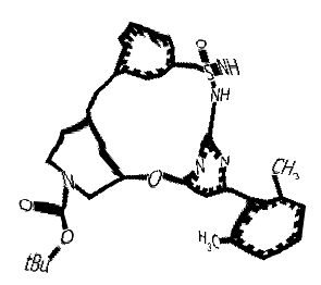 Cc1cccc(C)c1-c1cc2nc(n1)NS(=N)(=O)c1cccc(c1)CC1CCN(C(=O)OC(C)(C)C)CC(C1)O2